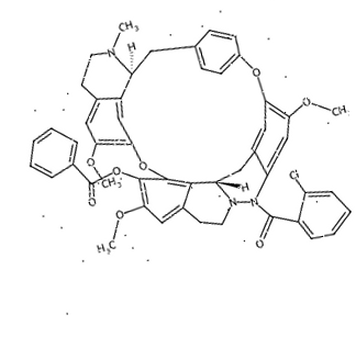 COc1cc2c3cc1Oc1ccc(cc1)C[C@H]1c4cc(c(OC)cc4CCN1C)Oc1c(OC(=O)c4ccccc4)c(OC)cc4c1[C@H](C3)N(CC4)N2C(=O)c1ccccc1Cl